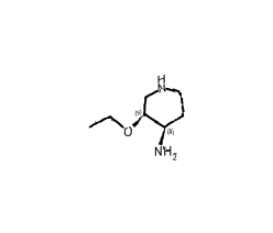 CCO[C@H]1CNCC[C@H]1N